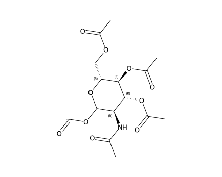 CC(=O)N[C@H]1C(O[C]=O)O[C@H](COC(C)=O)[C@@H](OC(C)=O)[C@@H]1OC(C)=O